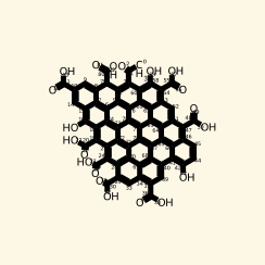 CC(=O)c1c2c3c4c5c(cc(C(=O)O)cc5c(O)c5c(C(=O)O)c6c(C(=O)O)c7c(C(=O)O)cc8c(C(=O)O)cc9c%10c(O)ccc%11c(C(=O)O)c%12cc%13c(C(=O)O)c(O)c1c1c%13c%13c%12c(c%11%10)c%10c9c8c7c7c6c(c54)c(c31)c%13c7%10)C2C(=O)O